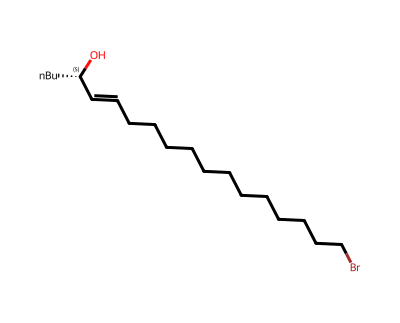 CCCC[C@H](O)C=CCCCCCCCCCCCCBr